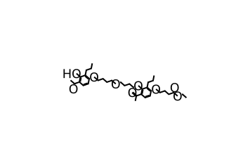 CCCc1c(OCCCCOCCCCOc2c(C(C)=O)ccc(OCCCC(=O)OCC)c2CCC)ccc(C(C)=O)c1O